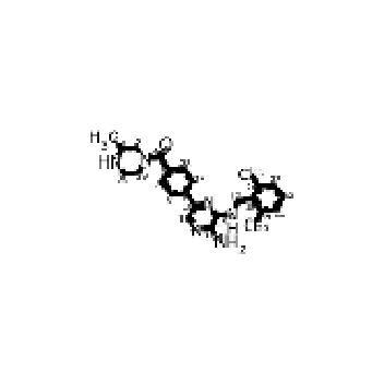 CC1CN(C(=O)c2ccc(-c3cnc(N)c(NCc4c(Cl)cccc4Cl)n3)cc2)CCN1